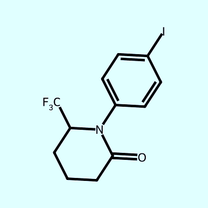 O=C1CCCC(C(F)(F)F)N1c1ccc(I)cc1